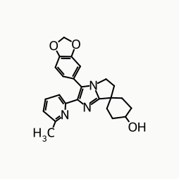 Cc1cccc(-c2nc3n(c2-c2ccc4c(c2)OCO4)CCC32CCC(O)CC2)n1